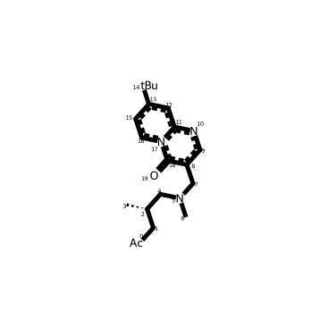 CC(=O)C[C@H](C)CN(C)Cc1cnc2cc(C(C)(C)C)ccn2c1=O